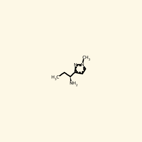 CC[C@H](N)c1ccn(C)n1